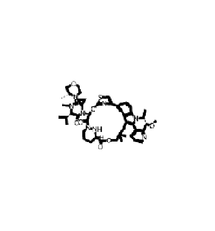 CCn1c(-c2cccnc2[C@H](C)OC)c2c3cc(ccc31)-c1csc(n1)C[C@H](N(C(=O)[C@H](C(C)C)N(C)C(=O)N1CCOC[C@H]1C)C1CC1)C(=O)N1CCC[C@H](N1)C(=O)OCC(C)(C)C2